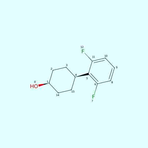 O[C@H]1CC[C@@H](c2c(F)cccc2F)CC1